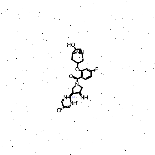 N=C1CN(C(=O)c2ccc(F)cc2OC2CC3CC(O)C(C2)N3)C/C1=C1\N=CC(Cl)=CN1